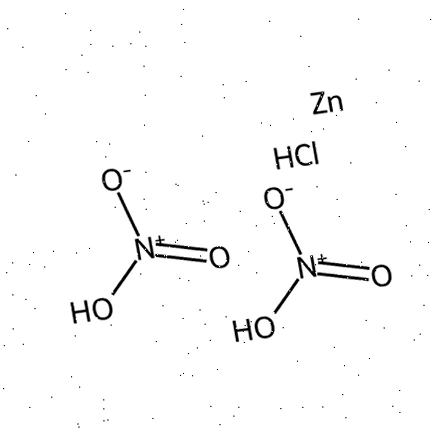 Cl.O=[N+]([O-])O.O=[N+]([O-])O.[Zn]